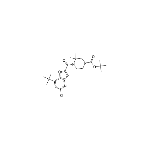 CC(C)(C)OC(=O)N1CCN(C(=O)c2cc3nc(Cl)cc(C(C)(C)C)c3o2)C(C)(C)C1